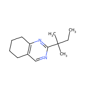 CCC(C)(C)c1ncc2c(n1)CCCC2